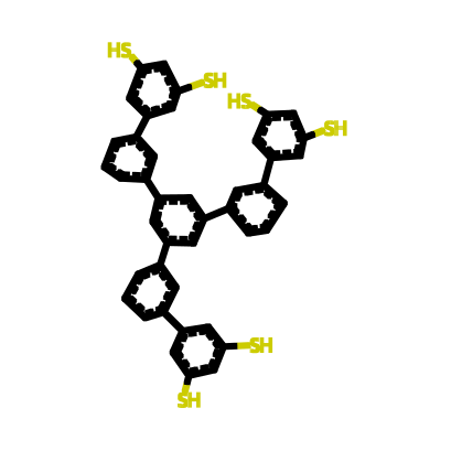 Sc1cc(S)cc(-c2cccc(-c3cc(-c4cccc(-c5cc(S)cc(S)c5)c4)cc(-c4cccc(-c5cc(S)cc(S)c5)c4)c3)c2)c1